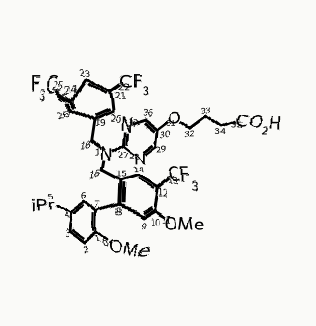 COc1ccc(C(C)C)cc1-c1cc(OC)c(C(F)(F)F)cc1CN(Cc1cc(C(F)(F)F)cc(C(F)(F)F)c1)c1ncc(OCCCC(=O)O)cn1